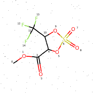 COC(=O)C1OS(=O)(=O)OC1C(F)(F)F